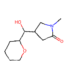 CN1CC(C(O)C2CCCCO2)CC1=O